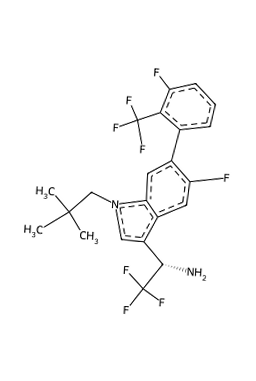 CC(C)(C)Cn1cc([C@H](N)C(F)(F)F)c2cc(F)c(-c3cccc(F)c3C(F)(F)F)cc21